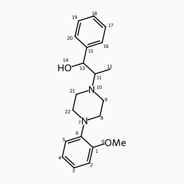 COc1ccccc1N1CCN(C(C)C(O)c2ccccc2)CC1